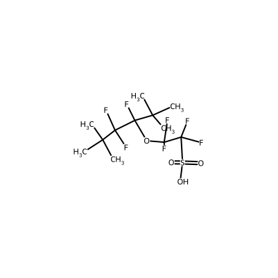 CC(C)(C)C(F)(F)C(F)(OC(F)(F)C(F)(F)S(=O)(=O)O)C(C)(C)C